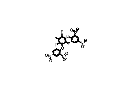 Cc1c(F)c(Oc2ccc([N+](=O)[O-])cc2[N+](=O)[O-])c(F)c(Oc2ccc([N+](=O)[O-])cc2[N+](=O)[O-])c1F